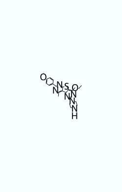 CCOc1nc(N2CCNCC2)nc2c1sc1nc(-c3ccc(OC)cc3)nc(C)c12